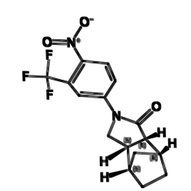 O=C1[C@@H]2[C@@H]3CC[C@@H](C3)[C@@H]2CN1c1ccc([N+](=O)[O-])c(C(F)(F)F)c1